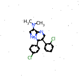 CN(C)c1cnn2c(-c3ccc(Cl)cc3)c(-c3ccccc3Cl)cnc12